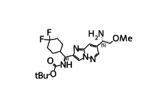 COC[C@@H](N)c1cnn2cc([C@@H](NC(=O)OC(C)(C)C)C3CCC(F)(F)CC3)nc2c1